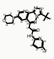 CC(C)(C)c1nnc2c3ncc(N4CCOCC4)cc3c(CC(=O)Nc3ccc(F)cn3)nn12